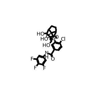 O=C(Nc1cc(F)c(F)c(F)c1)c1ccc(Cl)c(S(=O)(=O)[C@H]2C3CCC2C(O)[C@](O)(CO)C3)c1